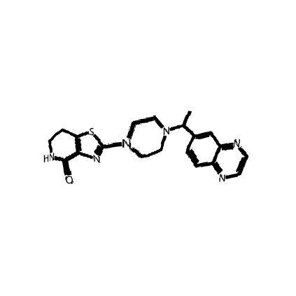 CC(c1ccc2nccnc2c1)N1CCN(c2nc3c(s2)CCNC3=O)CC1